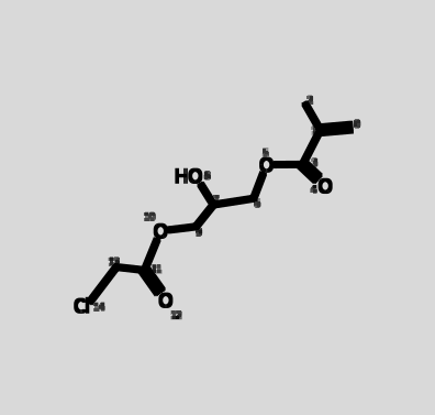 C=C(C)C(=O)OCC(O)COC(=O)CCl